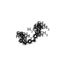 COC(=O)N[C@H](C(=O)N(CCC(C)C)[C@@H](C)c1nc2ccc([C@H]3C[C@@H]3c3ccc(-c4cnc([C@@H]5CCCN5C(=O)[C@@H](NC(=O)OC)C(C)C)[nH]4)cc3)cc2[nH]1)C(C)C